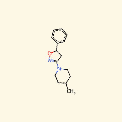 CC1CCN(C2=NOC(c3ccccc3)C2)CC1